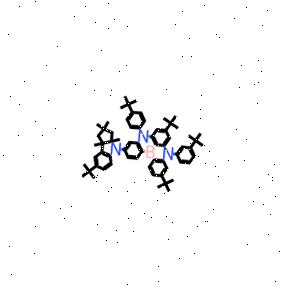 CC1(C)CC2(C)c3cc(C(C)(C)C)ccc3N(c3ccc4c(c3)N(c3ccc(C(C)(C)C)cc3)c3cc(C(C)(C)C)cc5c3B4c3ccc(C(C)(C)C)cc3N5c3cccc(C(C)(C)C)c3)C2(C)C1